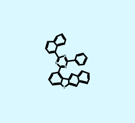 c1ccc(-c2nc(-c3cccc4ccccc34)nc(-c3cccc4sc5cc6ccccc6cc5c34)n2)cc1